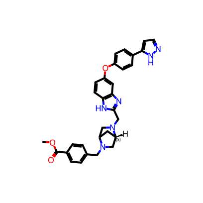 COC(=O)c1ccc(CN2C[C@@H]3CC2CN3Cc2nc3cc(Oc4ccc(-c5ccn[nH]5)cc4)ccc3[nH]2)cc1